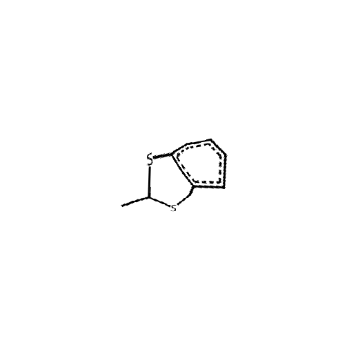 CC1Sc2ccccc2S1